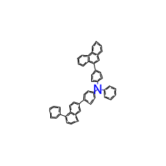 c1ccc(-c2cccc3cc(-c4ccc(N(c5ccccc5)c5ccc(-c6cc7ccccc7c7ccccc67)cc5)cc4)ccc23)cc1